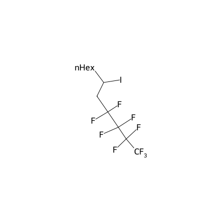 CCCCCCC(I)CC(F)(F)C(F)(F)C(F)(F)C(F)(F)F